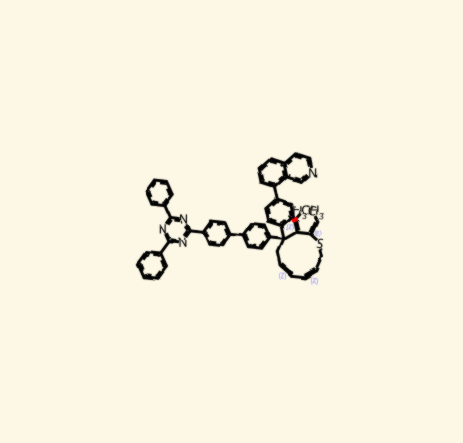 C/C=C1\C(=C/C)SC/C=C\C=C/CC1(c1ccc(-c2ccc(-c3nc(-c4ccccc4)nc(-c4ccccc4)n3)cc2)cc1)c1ccc(-c2cccc3ccncc23)cc1